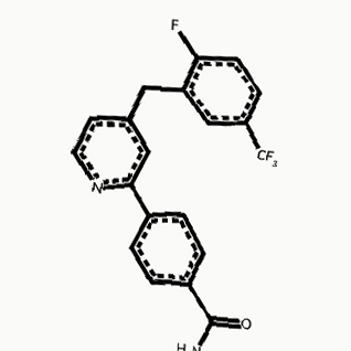 NC(=O)c1ccc(-c2cc(Cc3cc(C(F)(F)F)ccc3F)ccn2)cc1